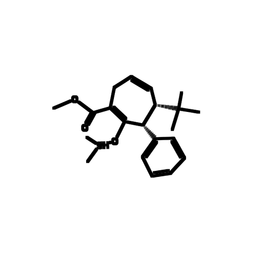 COC(=O)C1=C(O[SiH](C)C)[C@@H](c2ccccc2)[C@@H](C(C)(C)C)C=CC1